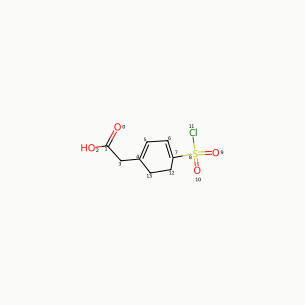 O=C(O)CC1=CC=C(S(=O)(=O)Cl)CC1